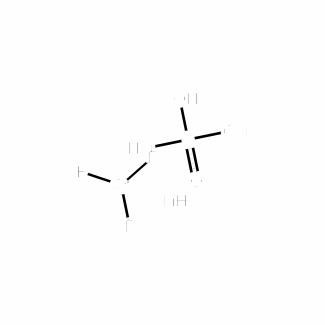 O=P(O)(O)O.[F][Cr]([F])[F].[LiH]